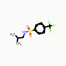 CC(C)CNS(=O)(=O)c1ccc(C(F)(F)F)cc1